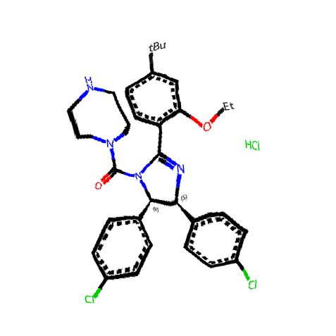 CCOc1cc(C(C)(C)C)ccc1C1=N[C@@H](c2ccc(Cl)cc2)[C@@H](c2ccc(Cl)cc2)N1C(=O)N1CCNCC1.Cl